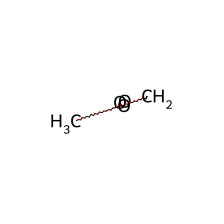 C=CCCCCCCCCC(=O)OC(=O)CCCCCCCCCCCCCCCCCCCCC